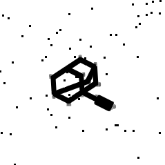 [C]#CC12CC3CC(CC(C3)C1)C2